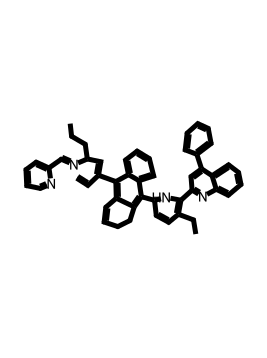 C=C/C(=C\C(CCC)/N=C/c1ccccn1)c1c2c(c(C3C=CC(CC)=C(c4cc(-c5ccccc5)c5ccccc5n4)N3)c3ccccc13)CCC=C2